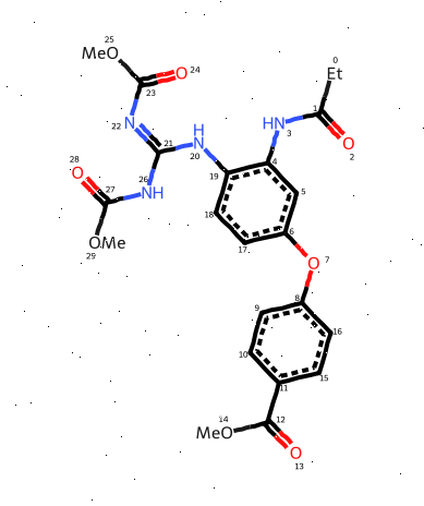 CCC(=O)Nc1cc(Oc2ccc(C(=O)OC)cc2)ccc1NC(=NC(=O)OC)NC(=O)OC